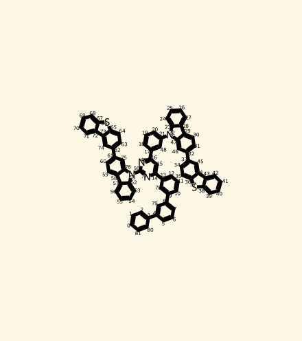 c1ccc(-c2cccc(-c3cccc(-c4cc(-c5cccc(-n6c7ccccc7c7ccc(-c8ccc9sc%10ccccc%10c9c8)cc76)c5)nc(-n5c6ccccc6c6ccc(-c7ccc8sc9ccccc9c8c7)cc65)n4)c3)c2)cc1